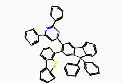 c1ccc(-c2cc(-c3cc4c(cc3-c3cccc5c3sc3ccccc35)C(c3ccccc3)(c3ccccc3)c3ccccc3-4)nc(-c3ccccc3)n2)cc1